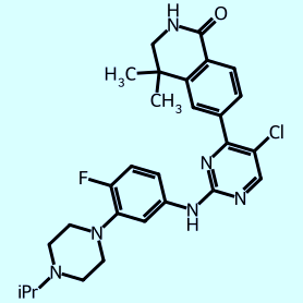 CC(C)N1CCN(c2cc(Nc3ncc(Cl)c(-c4ccc5c(c4)C(C)(C)CNC5=O)n3)ccc2F)CC1